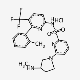 CNC1CCN(c2cccc(S(=O)(=O)Nc3ccc(C(F)(F)F)c(-c4ccccc4C)n3)n2)C1.Cl